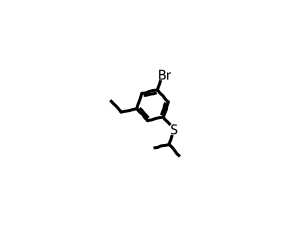 CCc1cc(Br)cc(SC(C)C)c1